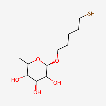 CC1O[C@@H](OCCCCCS)C(O)[C@@H](O)[C@@H]1O